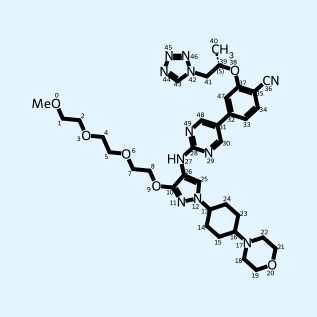 COCCOCCOCCOc1nn(C2CCC(N3CCOCC3)CC2)cc1Nc1ncc(-c2ccc(C#N)c(O[C@@H](C)Cn3cnnn3)c2)cn1